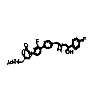 CC(=O)NC[C@H]1CN(c2ccc(-c3ccc(CNCC(O)c4ccc(F)cc4)cc3)c(F)c2)C(=O)O1